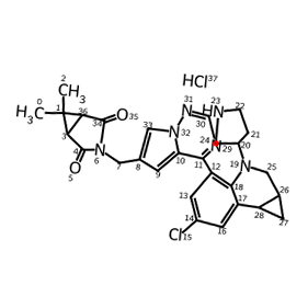 CC1(C)C2C(=O)N(Cc3cc4c(-c5cc(Cl)cc6c5N(C5CCNC5)CC5CC65)ncnn4c3)C(=O)C21.Cl